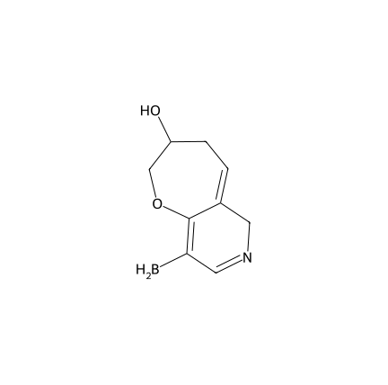 BC1=C2OCC(O)CC=C2CN=C1